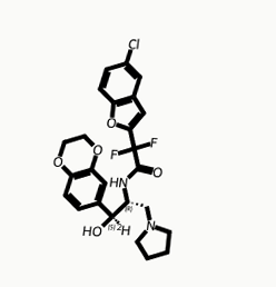 [2H][C@](O)(c1ccc2c(c1)OCCO2)[C@@H](CN1CCCC1)NC(=O)C(F)(F)c1cc2cc(Cl)ccc2o1